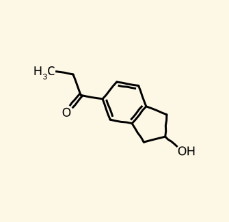 CCC(=O)c1ccc2c(c1)CC(O)C2